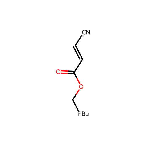 CCCCCOC(=O)C=CC#N